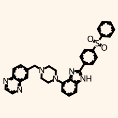 O=S(=O)(c1ccccc1)c1ccc(-c2nc3c(N4CCN(Cc5ccc6nccnc6c5)CC4)cccc3[nH]2)cc1